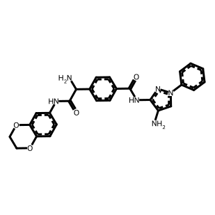 Nc1cn(-c2ccccc2)nc1NC(=O)c1ccc(C(N)C(=O)Nc2ccc3c(c2)OCCO3)cc1